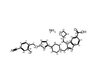 N.N#Cc1ccc(COn2ccc(C3CCN(Cc4nc5ccc(C(=O)O)cc5n4C[C@@H]4CCO4)CC3)n2)c(F)c1